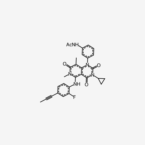 CC#Cc1ccc(Nc2c3c(=O)n(C4CC4)c(=O)n(-c4cccc(NC(C)=O)c4)c3c(C)c(=O)n2C)c(F)c1